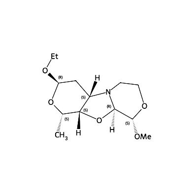 CCO[C@H]1C[C@H]2[C@H](O[C@@H]3[C@@H](OC)OCCN32)[C@H](C)O1